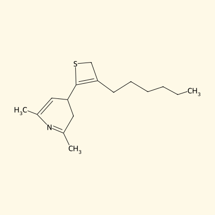 CCCCCCC1=C(C2C=C(C)N=C(C)C2)SC1